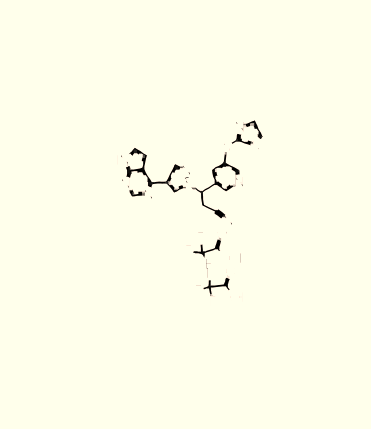 N#CCC(c1cncc(Sc2nccs2)c1)n1cc(-c2ncnc3[nH]ccc23)cn1.O=C(O)C(F)(F)F.O=C(O)C(F)(F)F